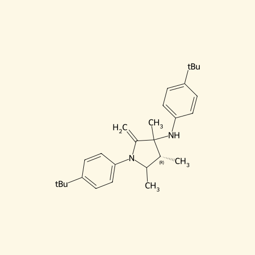 C=C1N(c2ccc(C(C)(C)C)cc2)C(C)[C@@H](C)C1(C)Nc1ccc(C(C)(C)C)cc1